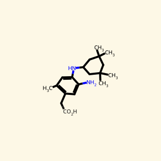 Cc1cc(NC2CC(C)(C)CC(C)(C)C2)c(N)cc1CC(=O)O